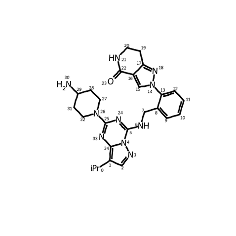 CC(C)c1cnn2c(NCc3ccccc3-n3cc4c(n3)CCNC4=O)nc(N3CCC(N)CC3)nc12